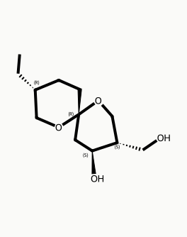 CC[C@@H]1CC[C@@]2(C[C@H](O)[C@@H](CO)CO2)OC1